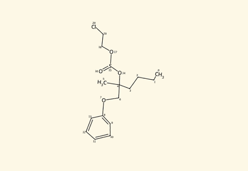 CCCCC(C)(COc1ccccc1)OS(=O)OCCCl